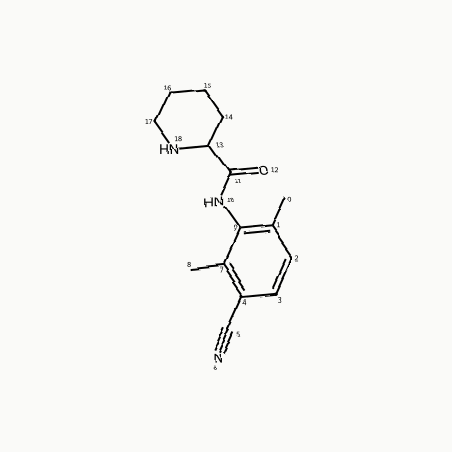 Cc1ccc(C#N)c(C)c1NC(=O)C1CCCCN1